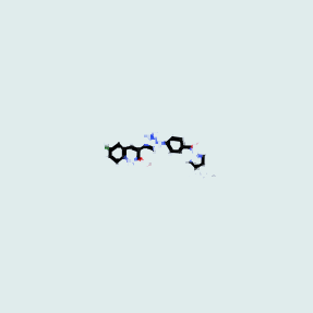 CO[C@H]1CCN(C(=O)c2ccc(-n3cc(-c4cc5cc(Cl)ccc5[nH]c4=O)nn3)cc2)C1